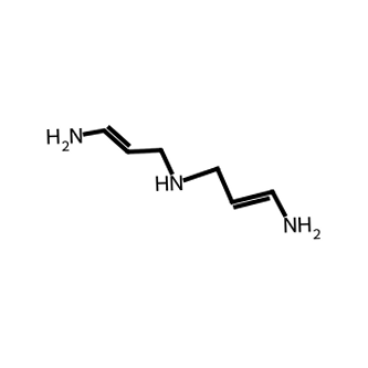 NC=CCNCC=CN